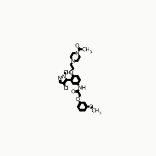 COc1cccc(OCC(=O)Nc2ccc(OCCN3CCN(C(C)=O)CC3)c(-c3c(Cl)cnn3C)c2)c1